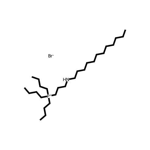 CCCCCCCCCCCCNCCC[P+](CCCC)(CCCC)CCCC.[Br-]